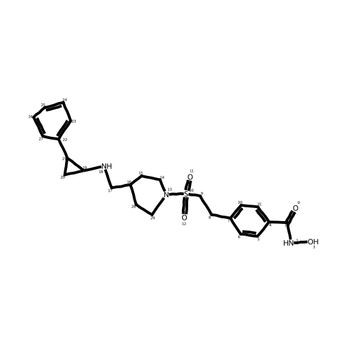 O=C(NO)c1ccc(CCS(=O)(=O)N2CCC(CNC3CC3c3ccccc3)CC2)cc1